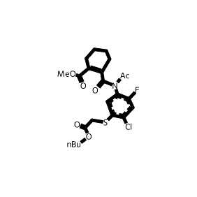 CCCCOC(=O)CSc1cc(N(C(C)=O)C(=O)C2=C(C(=O)OC)CCCC2)c(F)cc1Cl